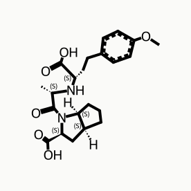 COc1ccc(CC[C@H](N[C@@H](C)C(=O)N2[C@H](C(=O)O)C[C@@H]3CCC[C@@H]32)C(=O)O)cc1